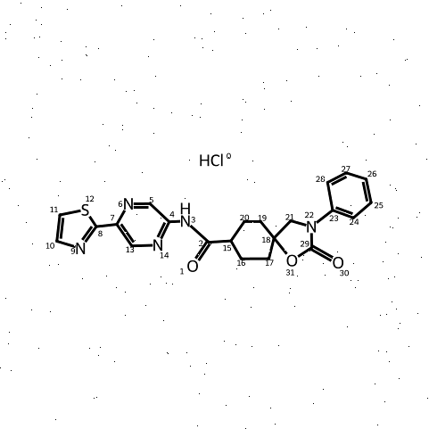 Cl.O=C(Nc1cnc(-c2nccs2)cn1)C1CCC2(CC1)CN(c1ccccc1)C(=O)O2